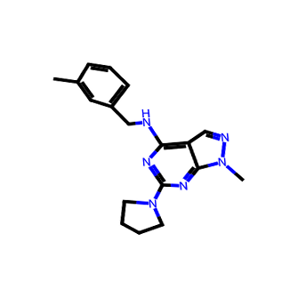 Cc1cccc(CNc2nc(N3CCCC3)nc3c2cnn3C)c1